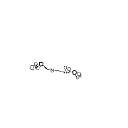 CC1(C)OCc2cc([C@@H]3CN(CCCCCCOCCC#Cc4cccc(S(=O)(=O)N5CCCCC5)c4)C(=O)O3)ccc2O1